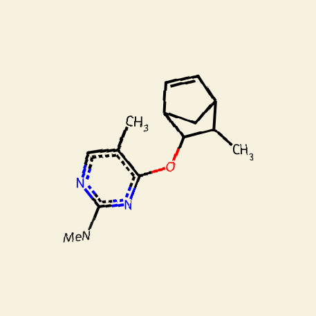 CNc1ncc(C)c(OC2C3C=CC(C3)C2C)n1